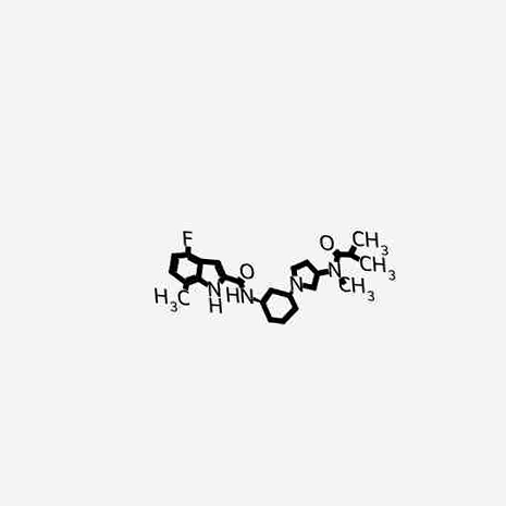 Cc1ccc(F)c2cc(C(=O)N[C@@H]3CCC[C@H](N4CCC(N(C)C(=O)C(C)C)C4)C3)[nH]c12